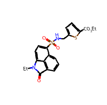 CCOC(=O)c1ccc(CNS(=O)(=O)c2ccc3c4c(cccc24)C(=O)N3CC)s1